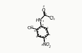 O=C(Cl)Nc1ccc([N+](=O)[O-])cc1Cl